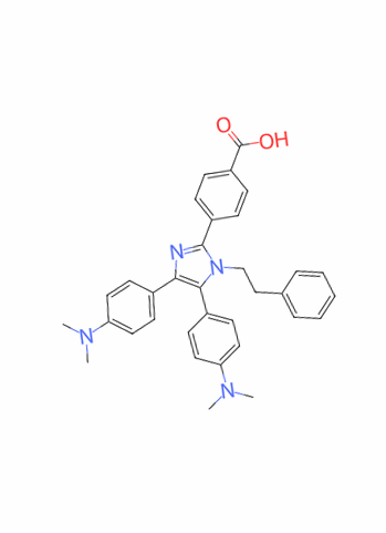 CN(C)c1ccc(-c2nc(-c3ccc(C(=O)O)cc3)n(CCc3ccccc3)c2-c2ccc(N(C)C)cc2)cc1